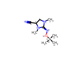 CN1CC(C#N)N(C)C1=NO[Si](C)(C)C